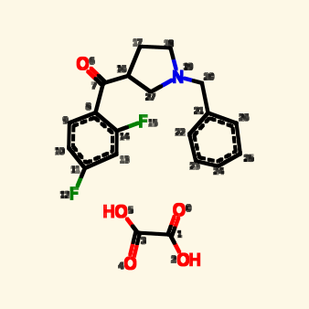 O=C(O)C(=O)O.O=C(c1ccc(F)cc1F)C1CCN(Cc2ccccc2)C1